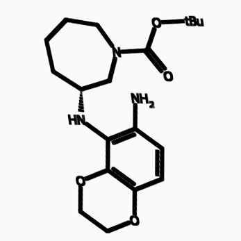 CC(C)(C)OC(=O)N1CCCC[C@@H](Nc2c(N)ccc3c2OCCO3)C1